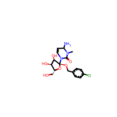 CN1C(=O)N([C@]2(OCc3ccc(Cl)cc3)O[C@H](CO)[C@@H](O)[C@H]2O)C=CC1N